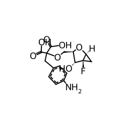 Nc1ccc(CC(OC[C@H]2O[C@H]3C[C@]3(F)[C@@H]2O)(C(=O)O)C(=O)O)cc1